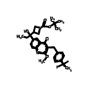 CCC(O)(c1ccc2nc(OC)c(Cc3ccc(C(C)(F)F)cc3)c(Cl)c2c1)C1CN(C(=O)OC(C)(C)C)C1